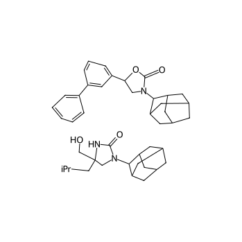 CC(C)CC1(CO)CN(C2C3CC4CC(C3)CC2C4)C(=O)N1.O=C1OC(c2cccc(-c3ccccc3)c2)CN1C1C2CC3CC(C2)CC1C3